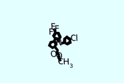 CCOC(=O)CC1CCCc2c1n(Cc1ccc(Cl)cc1)c1ccc(C(F)(F)F)cc21